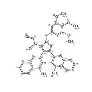 COc1cc(Cn2cc(-c3cc(C)c4ccccc4c3)c(-c3cc(C)c4ccccc4c3)c2C(=O)C=O)cc(OC)c1OC